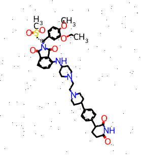 CCOc1cc([C@@H](CS(C)(=O)=O)N2C(=O)c3cccc(NC4CCN(CCN5CCC(c6ccc(C7CCC(=O)NC7=O)cc6)CC5)CC4)c3C2=O)ccc1OC